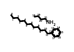 CCCCCCCCCCCCc1ccccc1.CCCCN